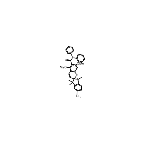 COc1cc2c(c(OC)c1C(=O)P(c1ccccc1)c1ccccc1)C=CC1(O2)N(C)c2ccc(C(F)(F)F)cc2C1(C)C